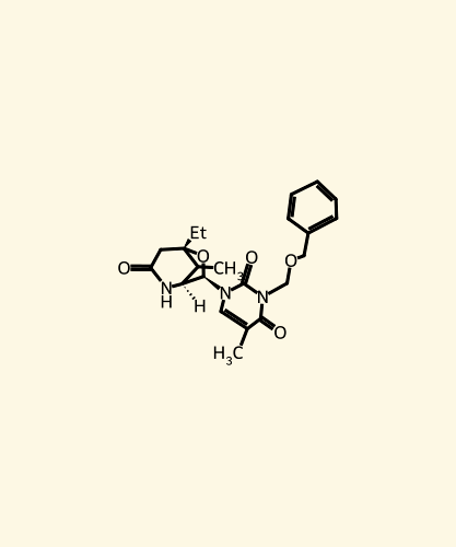 CC[C@]12CC(=O)N[C@@H](C1C)[C@H](n1cc(C)c(=O)n(COCc3ccccc3)c1=O)O2